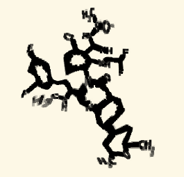 CNC(Cc1cc(F)cc(F)c1)c1nc2cc(C3=CC(C)OC(C)C3)ccc2c(=O)n1-c1ccc(Cl)c(C(=N)N[S+](C)[O-])c1NCC(F)F